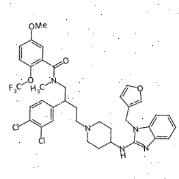 COc1ccc(OC(F)(F)F)c(C(=O)N(C)CC(CCN2CCC(Nc3nc4ccccc4n3Cc3ccoc3)CC2)c2ccc(Cl)c(Cl)c2)c1